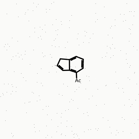 CC(=O)c1cccc2c1C=[C]C2